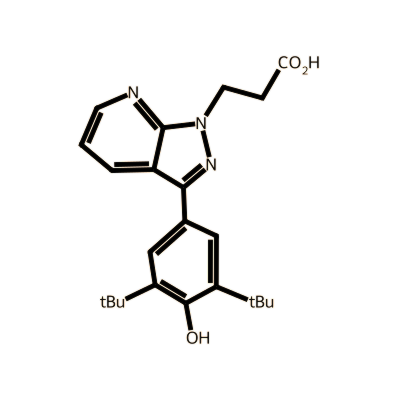 CC(C)(C)c1cc(-c2nn(CCC(=O)O)c3ncccc23)cc(C(C)(C)C)c1O